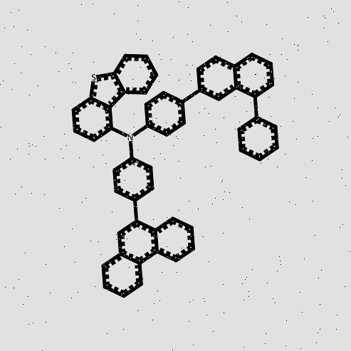 c1ccc(-c2cccc3ccc(-c4ccc(N(c5ccc(-c6cc7ccccc7c7ccccc67)cc5)c5cccc6sc7ccccc7c56)cc4)cc23)cc1